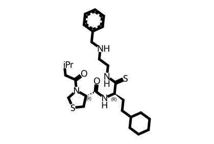 CC(C)CC(=O)N1CSC[C@H]1C(=O)N[C@H](CCC1CCCCC1)C(=S)NCCNCc1ccccc1